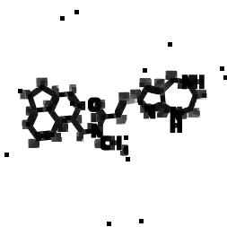 CN(Cc1ccc2c3c(cc#cc13)CC2)C(=O)/C=C/[C@@H]1C=C2CNCCNC2=N1